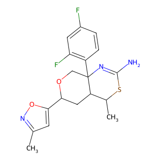 Cc1cc(C2CC3C(C)SC(N)=NC3(c3ccc(F)cc3F)CO2)on1